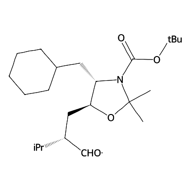 CC(C)[C@@H]([C]=O)C[C@@H]1OC(C)(C)N(C(=O)OC(C)(C)C)[C@H]1CC1CCCCC1